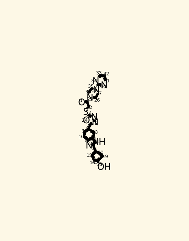 O=C(CSc1nnc(-c2ccc3nc(-c4ccc(O)cc4)[nH]c3c2)o1)N1CCN(c2ncccn2)CC1